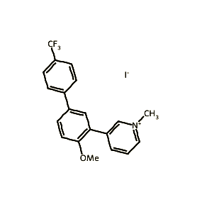 COc1ccc(-c2ccc(C(F)(F)F)cc2)cc1-c1ccc[n+](C)c1.[I-]